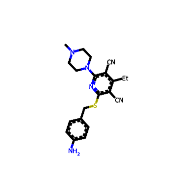 CCc1c(C#N)c(SCc2ccc(N)cc2)nc(N2CCN(C)CC2)c1C#N